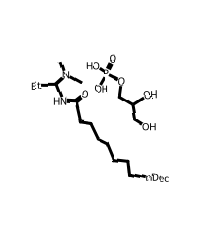 CCCCCCCCCCCCCCCCCC(=O)NC(CC)N(C)C.O=P(O)(O)OCC(O)CO